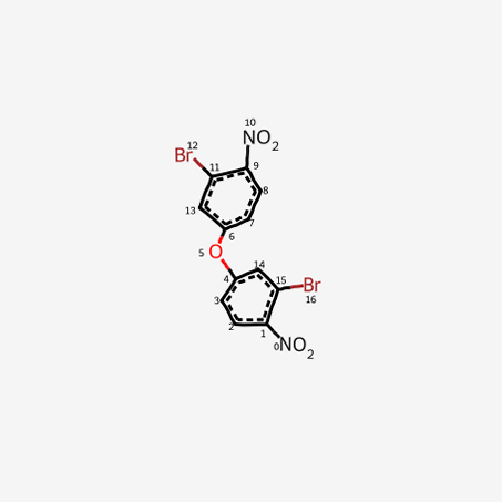 O=[N+]([O-])c1ccc(Oc2ccc([N+](=O)[O-])c(Br)c2)cc1Br